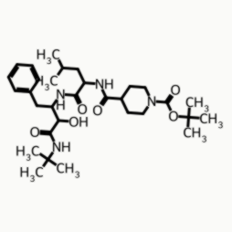 CC(C)CC(NC(=O)C1CCN(C(=O)OC(C)(C)C)CC1)C(=O)NC(Cc1ccccc1)C(O)C(=O)NC(C)(C)C